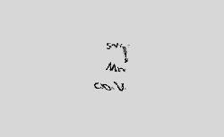 [Co].[Mn].[SnH2].[V]